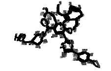 CCc1cccc(CC)c1-n1c(CC(C)C)c(C(=O)N2CCC(CO)C2)cc(-c2nc(-c3ccc(Cl)cc3)cs2)c1=O